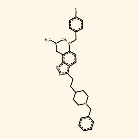 CN(C)Cc1c(OCc2ccc(F)cc2)ccc2c(CCC3CCN(Cc4ccccc4)CC3)noc12